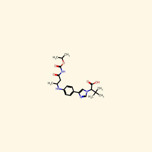 CC(CC(=O)NC(=O)OC(C)C)Nc1ccc(-c2cn(C(C(=O)O)C(C)(C)C)cn2)cc1